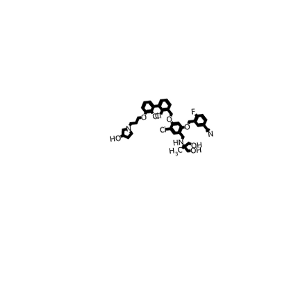 CC(CO)(CO)NCc1cc(Cl)c(OCc2cccc(-c3cccc(OCCCN4CCC(O)C4)c3Cl)c2Cl)cc1OCc1cc(C#N)ccc1F